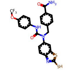 NC(=O)c1ccc(CN(C(=O)Nc2ccc(OC(F)(F)F)cc2)c2ccc3nc(S)sc3c2)cc1